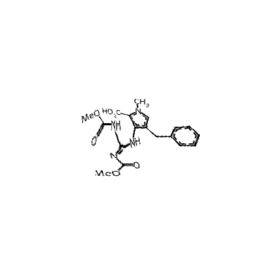 COC(=O)N=C(NC(=O)OC)Nc1c(Cc2ccccc2)cn(C)c1C(=O)O